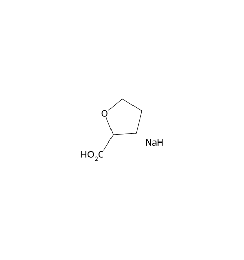 O=C(O)C1CCCO1.[NaH]